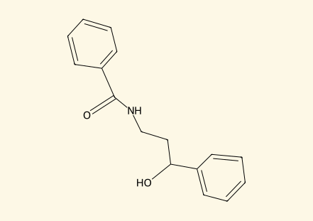 O=C(NCCC(O)c1ccccc1)c1ccccc1